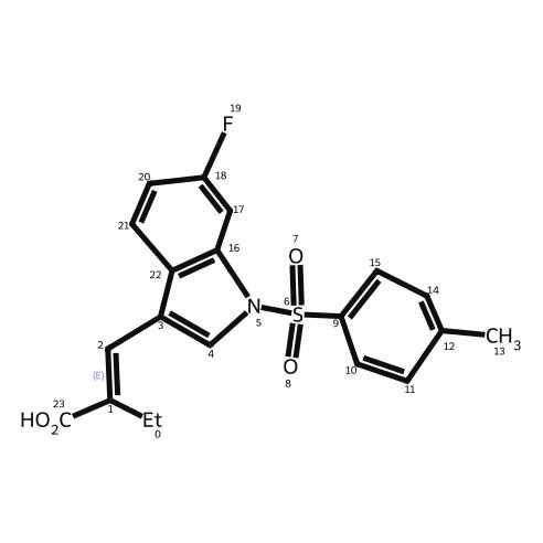 CC/C(=C\c1cn(S(=O)(=O)c2ccc(C)cc2)c2cc(F)ccc12)C(=O)O